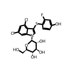 OC[C@H]1O[C@@H](n2cc(Sc3ccc(O)cc3F)c3c(Cl)cc(Cl)cc32)[C@H](O)[C@@H](O)[C@@H]1O